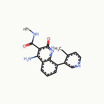 CCCNC(=O)c1c(N)c2cccc(-c3cnccc3C)c2[nH]c1=O